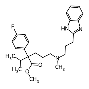 COC(=O)C(CCCN(C)CCCc1nc2ccccc2[nH]1)(c1ccc(F)cc1)C(C)C